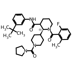 Cc1cccc(F)c1C(=O)N1CCCC(C(=O)Nc2cccc(C(C)(C)C)c2)[C@@H]1C1CCN(C(=O)N2CCCC2)CC1